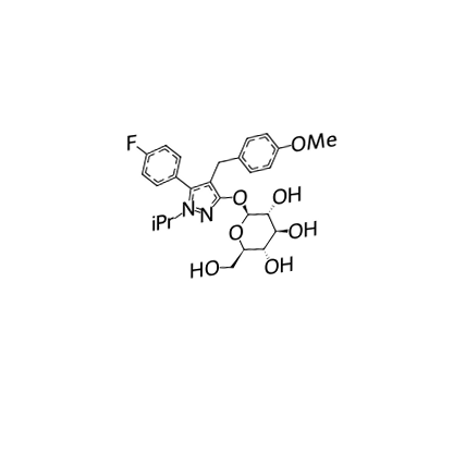 COc1ccc(Cc2c(O[C@@H]3O[C@H](CO)[C@@H](O)[C@H](O)[C@H]3O)nn(C(C)C)c2-c2ccc(F)cc2)cc1